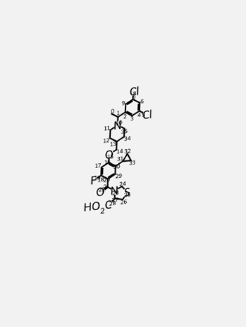 CC(c1cc(Cl)cc(Cl)c1)N1CCC(COc2cc(F)c(C(=O)N3CSCC3C(=O)O)cc2C2CC2)CC1